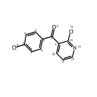 O=C(c1ccc(Cl)cc1)c1cccnc1Cl